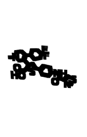 CN1CCC(C2CCC(F)(F)CC2)=C(c2cc(-c3ccc(NC(=O)c4cscn4)cc3)sc2C(=O)O)C1